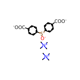 C[N+](C)(C)C.C[N+](C)(C)C.O=C([O-])c1ccc([S+]([O-])c2ccc(C(=O)[O-])cc2)cc1